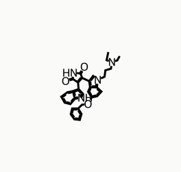 CCN(CC)CCCn1cc(C2=C(c3c[nH]c4ccccc34)C(=O)NC2=O)c2cc(OCc3ccccc3)ccc21